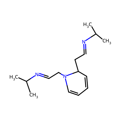 CC(C)N=CCC1C=CC=CN1CC=NC(C)C